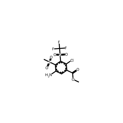 COC(=O)c1cc(N)c(S(C)(=O)=O)c(S(=O)(=O)C(F)(F)F)c1Cl